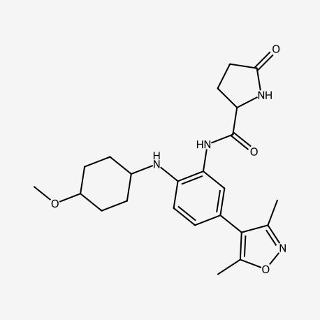 COC1CCC(Nc2ccc(-c3c(C)noc3C)cc2NC(=O)C2CCC(=O)N2)CC1